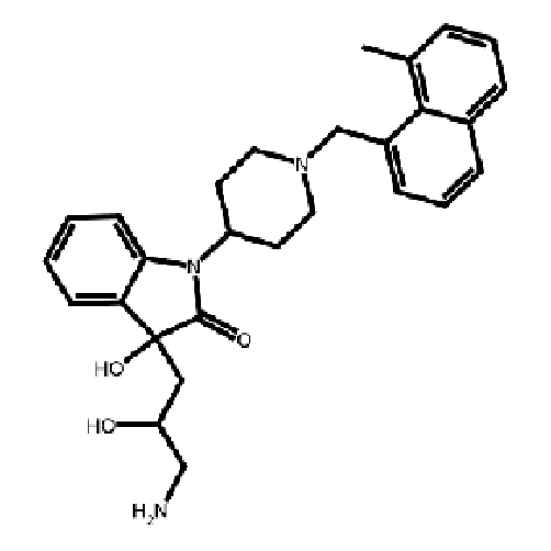 Cc1cccc2cccc(CN3CCC(N4C(=O)C(O)(CC(O)CN)c5ccccc54)CC3)c12